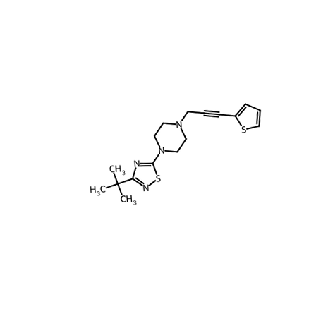 CC(C)(C)c1nsc(N2CCN(CC#Cc3cccs3)CC2)n1